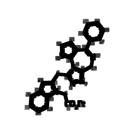 CCOC(=O)Cn1c(Cc2nnc3n2-c2sccc2C(c2ccccc2)=NC3)cc2ccccc21